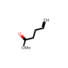 [CH]=CCCC(=O)OC